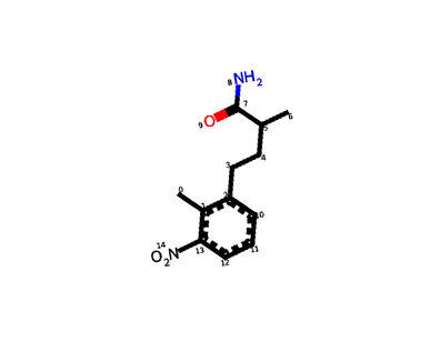 Cc1c(CCC(C)C(N)=O)cccc1[N+](=O)[O-]